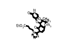 CCOC(=O)CCCn1nnnc1C1C=CC2=C(C1=O)C(Oc1cc[nH]c(=O)c1)C(C)(O)C(C)(C)O2